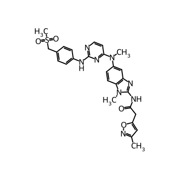 Cc1cc(CC(=O)Nc2nc3cc(N(C)c4ccnc(Nc5ccc(CS(C)(=O)=O)cc5)n4)ccc3n2C)on1